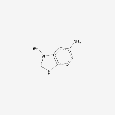 CC(C)N1CNc2ccc(N)cc21